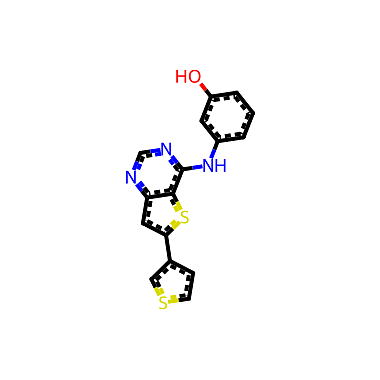 Oc1cccc(Nc2ncnc3cc(-c4ccsc4)sc23)c1